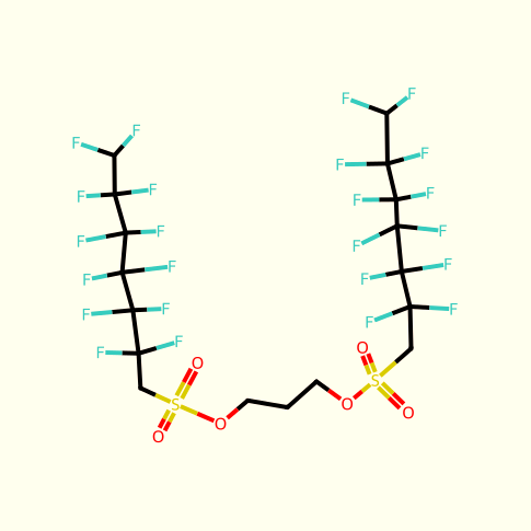 O=S(=O)(CC(F)(F)C(F)(F)C(F)(F)C(F)(F)C(F)(F)C(F)F)OCCCOS(=O)(=O)CC(F)(F)C(F)(F)C(F)(F)C(F)(F)C(F)(F)C(F)F